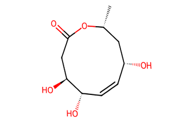 C[C@@H]1C[C@H](O)/C=C\[C@H](O)[C@@H](O)CC(=O)O1